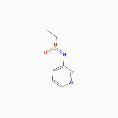 CC/[SH](=O)=N/c1[c]nccc1